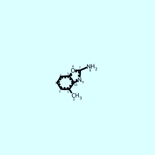 Cc1cccc2oc(N)nc12